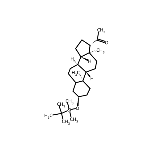 CC(=O)[C@H]1CC[C@H]2[C@@H]3CCC4C[C@H](O[Si](C)(C)C(C)(C)C)CC[C@]4(C)[C@H]3CC[C@]12C